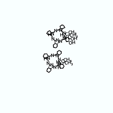 CC(C)(C)c1c(O)c(O)cc2c3nc4nc(nc5[nH]c(nc6nc(nc([nH]3)c12)-c1ccccc1-6)c1ccccc51)-c1ccccc1-4.CC(C)(C)c1cccc2c3nc4nc(nc5[nH]c(nc6nc(nc([nH]3)c12)-c1ccccc1-6)c1ccccc51)-c1ccccc1-4